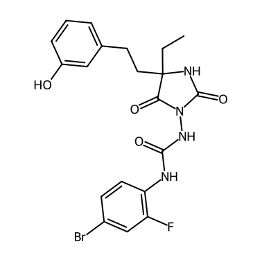 CCC1(CCc2cccc(O)c2)NC(=O)N(NC(=O)Nc2ccc(Br)cc2F)C1=O